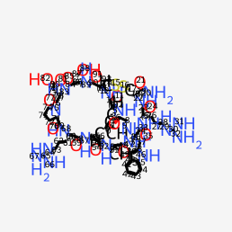 CC1CC[C@H](NC(=O)CN)C(=O)N[C@H]2CSSC[C@@H](C(N)=O)NC(=O)[C@H](CCCNC(=N)N)NC(=O)[C@H](Cc3cc4ccccc4[nH]3)NC(=O)[C@H](C)NC(=O)[C@H](C1)NC(=O)[C@H](CCCNC(=N)N)NC(=O)C1CCCN1C(=O)[C@H](CC(=O)O)NC(=O)[C@H](CO)NC2=O